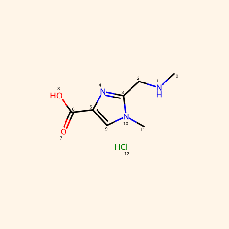 CNCc1nc(C(=O)O)cn1C.Cl